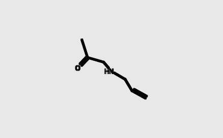 C=CCNCC(C)=O